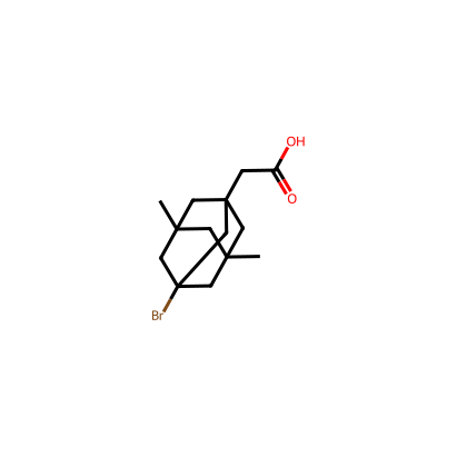 CC12CC3(C)CC(Br)(C1)CC(CC(=O)O)(C2)C3